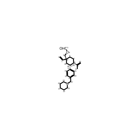 C=C[C@]1(COC=O)CC[C@@H](C(=C)C)[C@H](c2ccc(CN3CCCCC3)cc2)C1